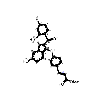 COC(=O)/C=C/c1ccc(Oc2c(C(=O)c3ccc(F)cc3C)sc3cc(O)ccc23)cc1